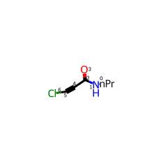 CCCNC(=O)C#CCl